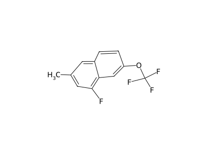 Cc1cc(F)c2cc(OC(F)(F)F)ccc2c1